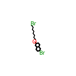 BrCCCCCCCCOc1ccc2cc(Br)ccc2c1